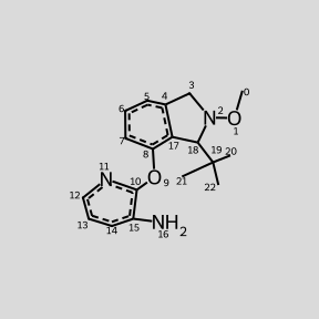 CON1Cc2cccc(Oc3ncccc3N)c2C1C(C)(C)C